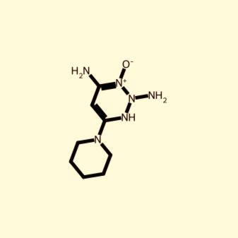 NC1=[N+]([O-])N(N)NC(N2CCCCC2)=C1